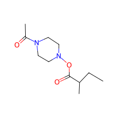 CCC(C)C(=O)ON1CCN(C(C)=O)CC1